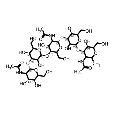 CC(=O)NC1[C@H](O[C@@H]2C(O)[C@H](O[C@@H]3C(CO)O[C@@H](O[C@@H]4C(O)[C@H](O[C@@H]5C(NC(C)=O)C(C)OC(CO)[C@@H]5O)OC(CO)[C@@H]4O)C(NC(C)=O)[C@H]3O)OC(CO)[C@@H]2O)OC(CO)[C@@H](O)[C@@H]1O